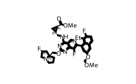 CCc1c(F)ccc2cc(OCOC)cc(-c3ncc4c(NC[C@@H]5C[C@H]5C(=O)OC)nc(OC[C@@]56CCCN5C[C@H](F)C6)nc4c3F)c12